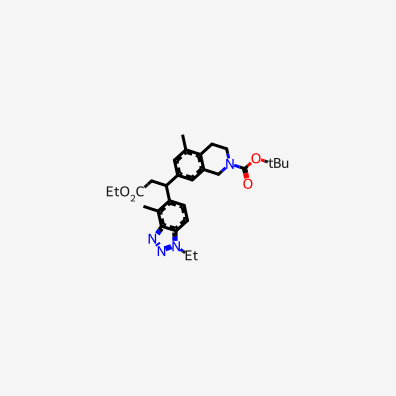 CCOC(=O)CC(c1cc(C)c2c(c1)CN(C(=O)OC(C)(C)C)CC2)c1ccc2c(nnn2CC)c1C